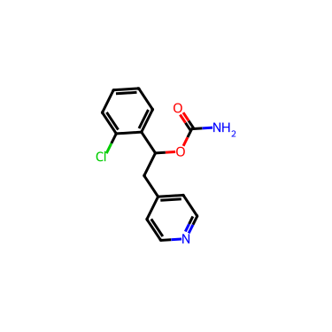 NC(=O)OC(Cc1ccncc1)c1ccccc1Cl